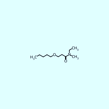 CCCCCOCCC(=O)N(C)CC